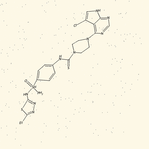 CCc1nnc(N[SH](=O)(P)c2ccc(NC(=S)N3CCN(c4ncnc5[nH]cc(Cl)c45)CC3)cc2)s1